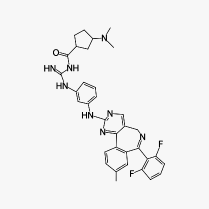 Cc1ccc2c(c1)C(c1c(F)cccc1F)=NCc1cnc(Nc3cccc(NC(=N)NC(=O)C4CCC(N(C)C)C4)c3)nc1-2